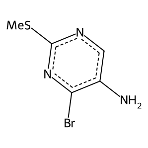 CSc1ncc(N)c(Br)n1